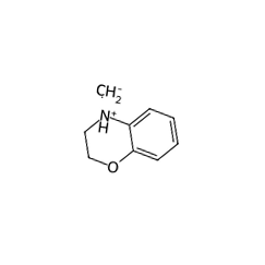 [CH2-][NH+]1CCOc2ccccc21